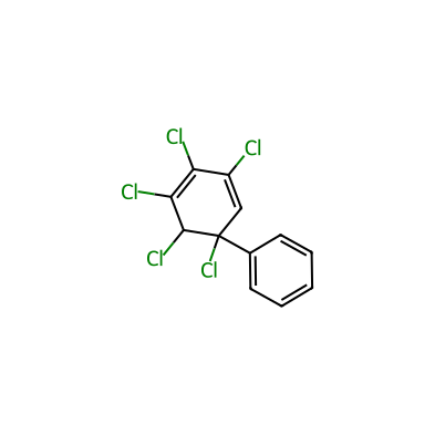 ClC1=CC(Cl)(c2ccccc2)C(Cl)C(Cl)=C1Cl